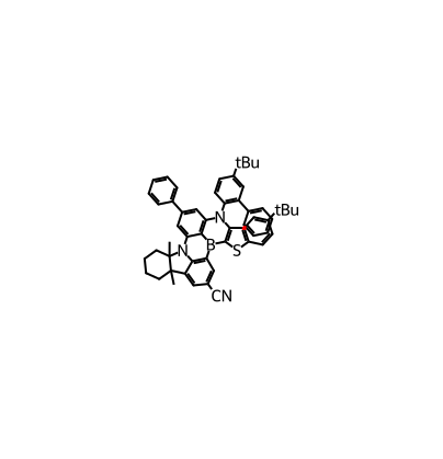 CC(C)(C)c1ccc(N2c3cc(-c4ccccc4)cc4c3B(c3cc(C#N)cc5c3N4C3(C)CCCCC53C)c3sc4ccc(C(C)(C)C)cc4c32)c(-c2ccccc2)c1